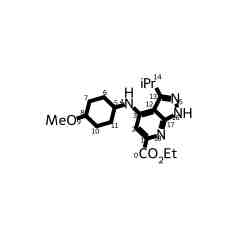 CCOC(=O)c1cc(NC2CCC(OC)CC2)c2c(C(C)C)n[nH]c2n1